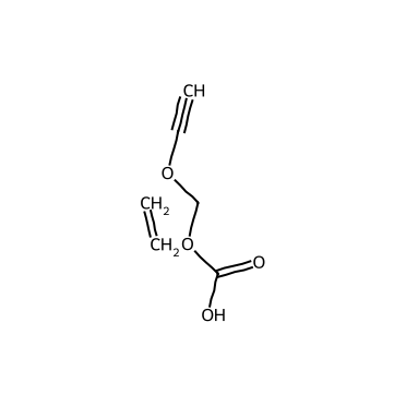 C#COCOC(=O)O.C=C